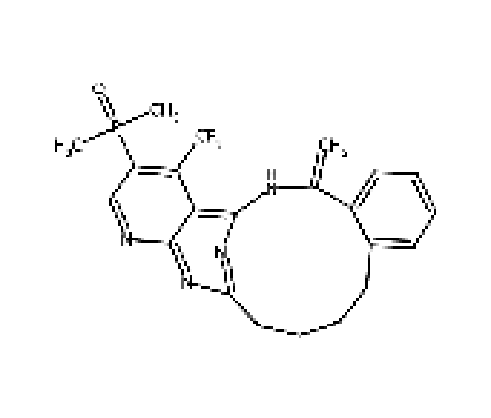 C=C1Nc2nc(nc3ncc(P(C)(C)=O)c(C(F)(F)F)c23)CCCCc2ccccc21